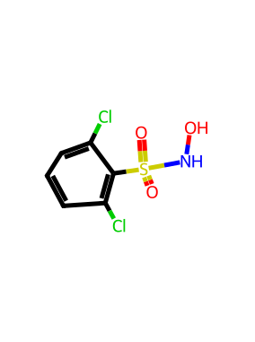 O=S(=O)(NO)c1c(Cl)cccc1Cl